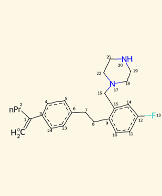 C=C(CCC)c1ccc(CCc2ccc(F)cc2CN2CCNCC2)cc1